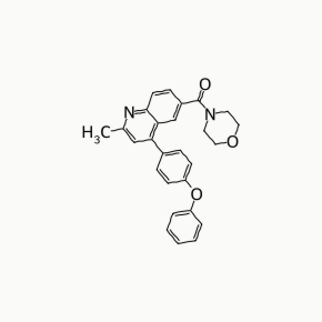 Cc1cc(-c2ccc(Oc3ccccc3)cc2)c2cc(C(=O)N3CCOCC3)ccc2n1